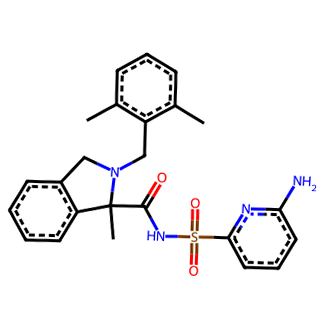 Cc1cccc(C)c1CN1Cc2ccccc2C1(C)C(=O)NS(=O)(=O)c1cccc(N)n1